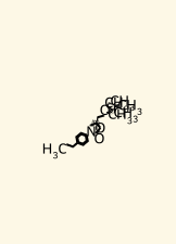 CCCc1ccc(N2C[C@@H](CCO[Si](C)(C)C(C)(C)C)OC2=O)cc1